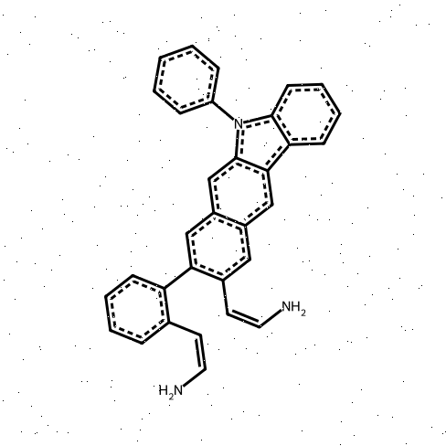 N/C=C\c1ccccc1-c1cc2cc3c(cc2cc1/C=C\N)c1ccccc1n3-c1ccccc1